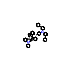 c1ccc(-c2cccc(N(c3ccc(B4c5ccccc5C5(c6ccccc64)c4ccccc4B4c6ccccc6N(c6ccccc6)c6cccc5c64)cc3)c3cccc(-c4ccccc4)c3)c2)cc1